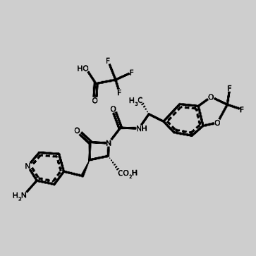 C[C@@H](NC(=O)N1C(=O)[C@H](Cc2ccnc(N)c2)[C@H]1C(=O)O)c1ccc2c(c1)OC(F)(F)O2.O=C(O)C(F)(F)F